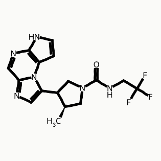 C[C@@H]1CN(C(=O)NCC(F)(F)F)CC1c1cnc2cnc3[nH]ccc3n12